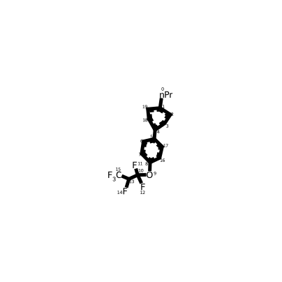 CCCc1ccc(-c2ccc(OC(F)(F)C(F)C(F)(F)F)cc2)cc1